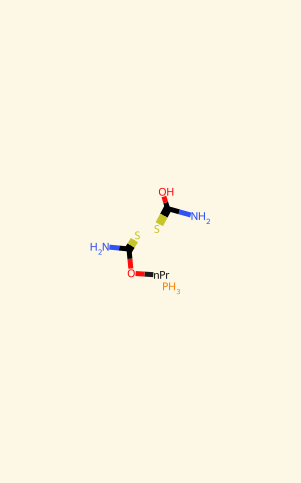 CCCOC(N)=S.NC(O)=S.P